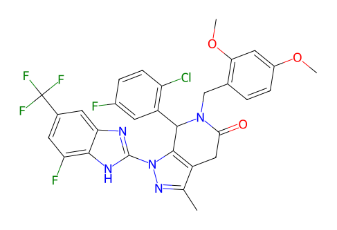 COc1ccc(CN2C(=O)Cc3c(C)nn(-c4nc5cc(C(F)(F)F)cc(F)c5[nH]4)c3C2c2cc(F)ccc2Cl)c(OC)c1